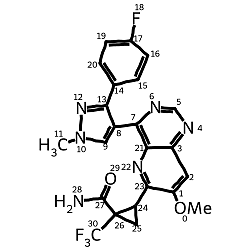 COc1cc2ncnc(-c3cn(C)nc3-c3ccc(F)cc3)c2nc1C1CC1(C(N)=O)C(F)(F)F